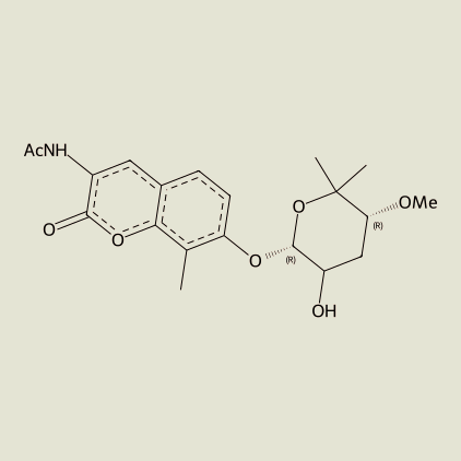 CO[C@@H]1CC(O)[C@H](Oc2ccc3cc(NC(C)=O)c(=O)oc3c2C)OC1(C)C